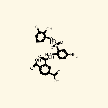 Nc1ccc(N)c(S(=O)(=O)O)c1.O=C(O)c1ccc(C(=O)O)c(C(=O)O)c1.Oc1cccc(O)c1O